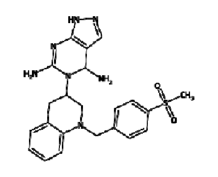 CS(=O)(=O)c1ccc(CN2CC(N3C(N)=Nc4[nH]ncc4C3N)Cc3ccccc32)cc1